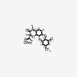 CO/N=C(\C)C1(C)Oc2cc(Oc3c(F)cc(C(F)(F)F)cc3Cl)ccc2N(C)C1=O